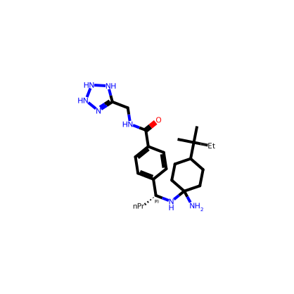 CCC[C@@H](NC1(N)CCC(C(C)(C)CC)CC1)c1ccc(C(=O)NCC2=NNNN2)cc1